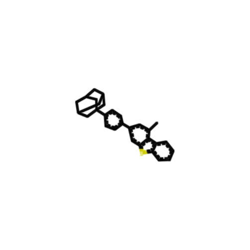 Cc1cc(-c2ccc(C34CC5CC(CC(C5)C3)C4)cc2)cc2sc3ccccc3c12